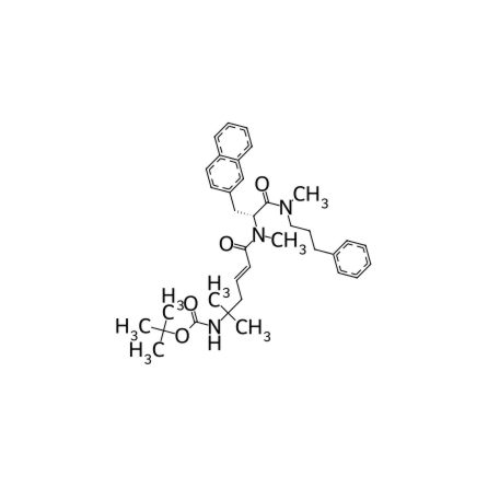 CN(CCCc1ccccc1)C(=O)[C@@H](Cc1ccc2ccccc2c1)N(C)C(=O)C=CCC(C)(C)NC(=O)OC(C)(C)C